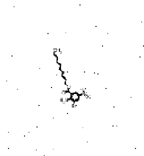 CCCCCCCCCCOC(=O)c1cc([N+](=O)[O-])cc(Br)c1N